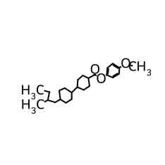 CCC(C)CC1CCC(C2CCC(C(=O)Oc3ccc(OC)cc3)CC2)CC1